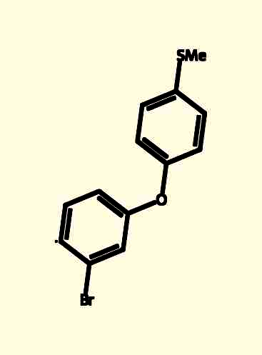 CSc1ccc(Oc2cc[c]c(Br)c2)cc1